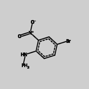 O=[N+]([O-])c1cc(Br)ccc1NP